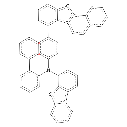 c1ccc(-c2ccccc2N(c2ccc(-c3cccc4oc5c6ccccc6ccc5c34)cc2)c2cccc3c2sc2ccccc23)cc1